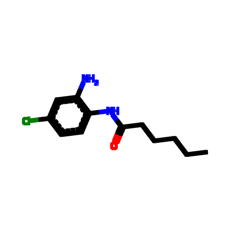 CCCCCC(=O)Nc1ccc(Cl)cc1N